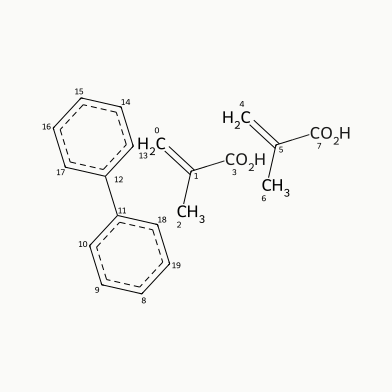 C=C(C)C(=O)O.C=C(C)C(=O)O.c1ccc(-c2ccccc2)cc1